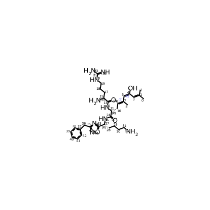 CC(C)=C/C(O)=C\C(C)=C\C[C@@H](NC(=O)[C@@H](N)CCCNC(=N)N)C(=O)N[C@H](CCCCN)c1nc(Cc2ccccc2)no1